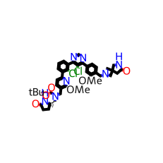 COc1cc(-c2ncnc(-c3cccc(-c4ccc(CN(C[C@@H]5CCC(=O)N5)C(=O)OC(C)(C)C)c(OC)n4)c3Cl)c2Cl)ccc1CN1CC2(CNC(=O)C2)C1